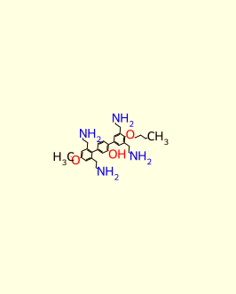 CCCCOc1c(CCN)cc(-c2ccc(-c3c(CCN)cc(OC)cc3CCN)cc2O)cc1CCN